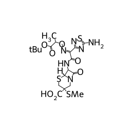 CSC1(C(=O)O)CS[C@@H]2C(NC(=O)C(=NOC(C)C(=O)OC(C)(C)C)c3nsc(N)n3)C(=O)N2C1